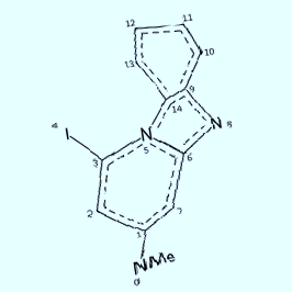 CNc1cc(I)n2c(c1)nc1ccccc12